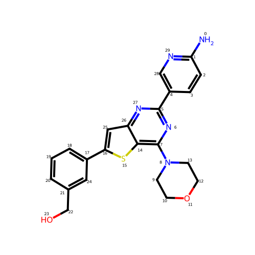 Nc1ccc(-c2nc(N3CCOCC3)c3sc(-c4cccc(CO)c4)cc3n2)cn1